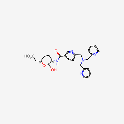 O=C(O)C[C@@H]1CC[C@H](NC(=O)c2ccc(CN(Cc3ccccn3)Cc3ccccn3)nc2)B(O)O1